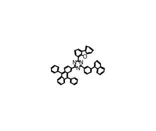 c1ccc(-c2c3ccccc3c(-c3ccccc3)c3cc(-c4nc(-c5cccc(-c6cccc7ccccc67)c5)nc(-c5cccc6c5oc5ccccc56)n4)ccc23)cc1